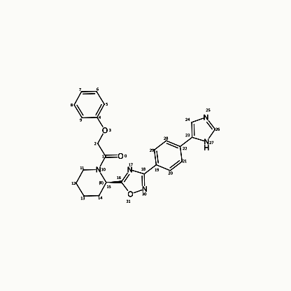 O=C(COc1ccccc1)N1CCCC[C@@H]1c1nc(-c2ccc(-c3cnc[nH]3)cc2)no1